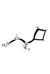 [SiH3]O[SiH2]C1CCC1